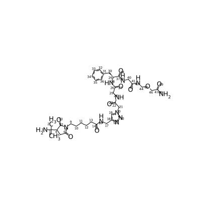 CC(C)(N)C1CC(=O)N(CCCCCC(=O)NCc2cn(CC(=O)NCC(=O)N[C@@H](Cc3ccccc3)C(=O)NCC(=O)NCOCC(N)=O)nn2)C1=O